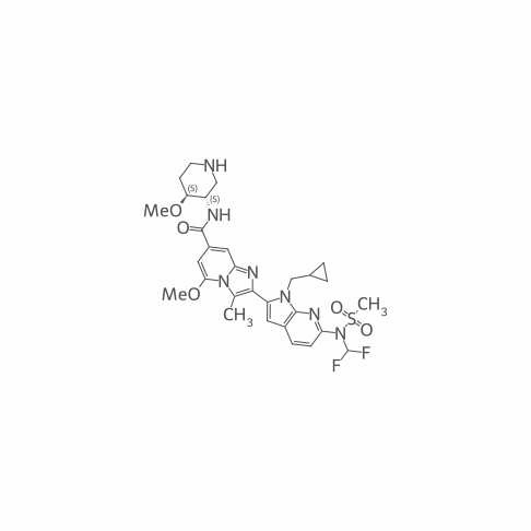 COc1cc(C(=O)N[C@H]2CNCC[C@@H]2OC)cc2nc(-c3cc4ccc(N(C(F)F)S(C)(=O)=O)nc4n3CC3CC3)c(C)n12